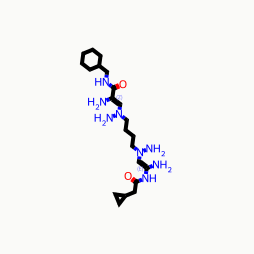 N/C(=C\N(N)CCCCN(N)/C=C(\N)NC(=O)CC1CC1)C(=O)NCC1CCCCC1